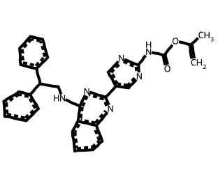 C=C(C)OC(=O)Nc1ncc(-c2nc(NCC(c3ccccc3)c3ccccc3)c3ccccc3n2)cn1